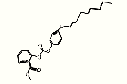 CCCCCCCCCOc1ccc(OC(=O)Oc2ccccc2C(=O)OC)cc1